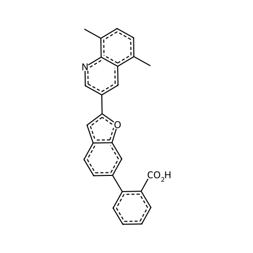 Cc1ccc(C)c2ncc(-c3cc4ccc(-c5ccccc5C(=O)O)cc4o3)cc12